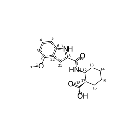 COc1cccc2[nH]c(C(=O)N[C@H]3CCCC[C@H]3C(=O)O)cc12